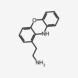 NCCc1cccc2c1Nc1ccccc1O2